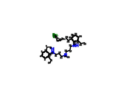 CCc1cccc(CC)c1NCCCN(C)CCCNc1c(CC)cccc1CC.[Br-].[Br-].[Co+2]